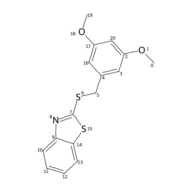 COc1cc(CSc2nc3ccccc3s2)cc(OC)c1